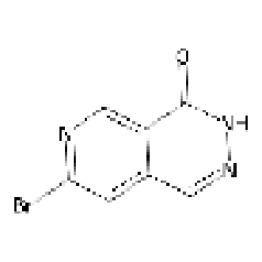 O=c1[nH]ncc2cc(Br)ncc12